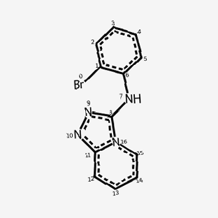 Brc1ccccc1Nc1nnc2ccccn12